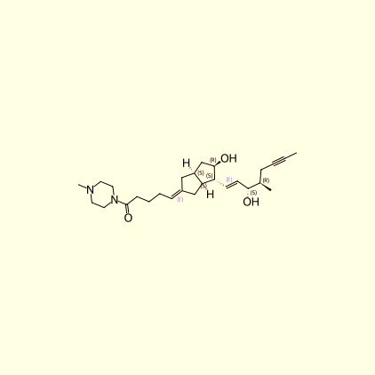 CC#CC[C@@H](C)[C@H](O)/C=C/[C@@H]1[C@H]2C/C(=C/CCCC(=O)N3CCN(C)CC3)C[C@H]2C[C@H]1O